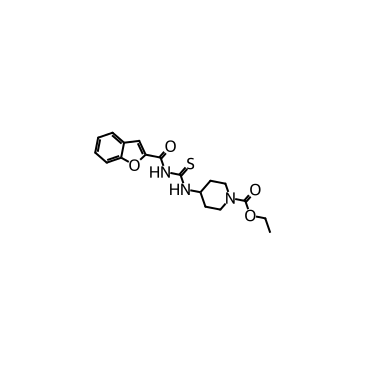 CCOC(=O)N1CCC(NC(=S)NC(=O)c2cc3ccccc3o2)CC1